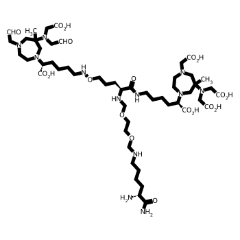 CC1(N(CC=O)CC(=O)O)CN(CC=O)CCN([C@H](CCCCNOCCC[C@H](NCOCCOCNCCCC[C@@H](N)C(N)=O)C(=O)NCCCC[C@H](C(=O)O)N2CCN(CC(=O)O)CC(C)(N(CC(=O)O)CC(=O)O)C2)C(=O)O)C1